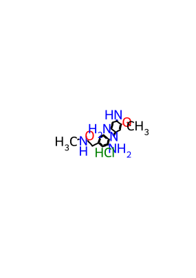 CCNC(=O)Cc1ccc(N=C2C=C(OC)C(=N)C=C2N)c(N)c1.Cl